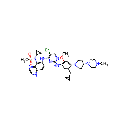 COc1cc(N2CCC(N3CCN(C)CC3)CC2)c(CC2CC2)cc1Nc1ncc(Br)c(Nc2ccc3nccnc3c2N(C2CC2)S(C)(=O)=O)n1